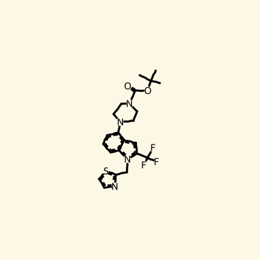 CC(C)(C)OC(=O)N1CCN(c2cccc3c2cc(C(F)(F)F)n3Cc2nccs2)CC1